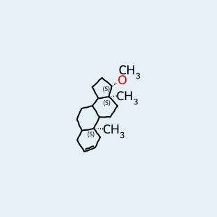 CO[C@H]1CCC2C3CCC4CC=CC[C@]4(C)C3CC[C@@]21C